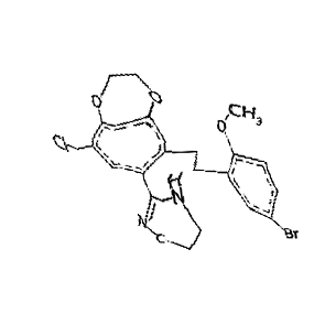 COc1ccc(Br)cc1CCc1c(C2=NCCCN2)cc(Cl)c2c1OCCO2